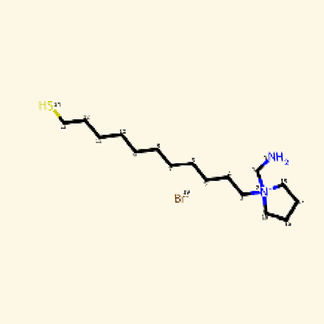 NC[N+]1(CCCCCCCCCCCS)CCCC1.[Br-]